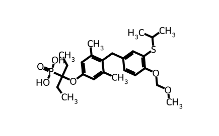 CCC(CC)(Oc1cc(C)c(Cc2ccc(OCOC)c(SC(C)C)c2)c(C)c1)P(=O)(O)O